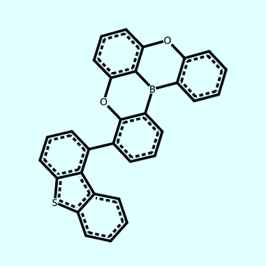 c1ccc2c(c1)Oc1cccc3c1B2c1cccc(-c2cccc4sc5ccccc5c24)c1O3